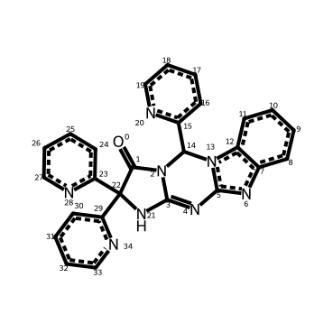 O=C1N2C(=Nc3nc4ccccc4n3C2c2ccccn2)NC1(c1ccccn1)c1ccccn1